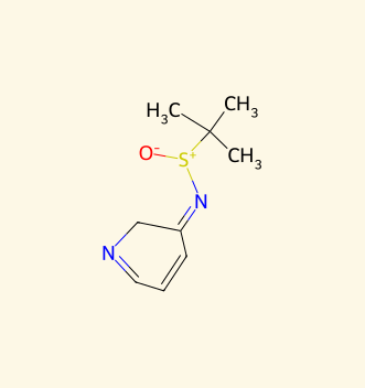 CC(C)(C)[S+]([O-])/N=C1/C=CC=NC1